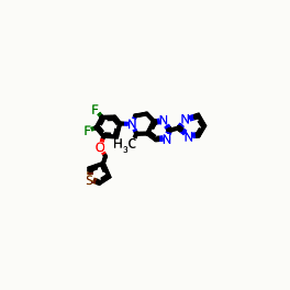 CC1c2cnc(-c3ncccn3)nc2CCN1c1cc(F)c(F)c(OCc2ccsc2)c1